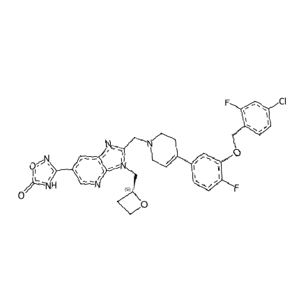 O=c1[nH]c(-c2cnc3c(c2)nc(CN2CC=C(c4ccc(F)c(OCc5ccc(Cl)cc5F)c4)CC2)n3C[C@@H]2CCO2)no1